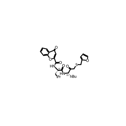 CCCC[C@H](NC(=O)[C@H](CC(C)C)NC(=O)c1cc(=O)c2ccccc2o1)C(=O)CSCc1ccco1